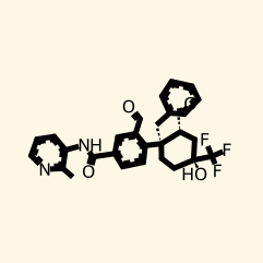 Cc1ncccc1NC(=O)c1ccc([C@]2(Cc3ccccc3)CC[C@](O)(C(F)(F)F)C[C@H]2C=O)c(C=O)c1